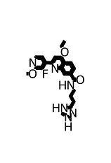 CCOc1cc(-c2ccnc(OC)c2F)nc2cc(C(=O)NCCCC3=NNCN3)ccc12